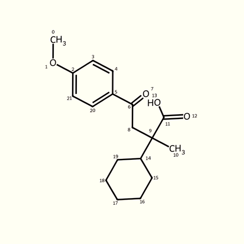 COc1ccc(C(=O)CC(C)(C(=O)O)C2CCCCC2)cc1